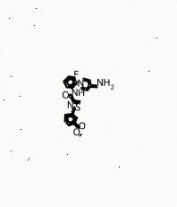 COC(=O)c1cccc(-c2nc(C(=O)Nc3cccc(F)c3N3CCC(CN)CC3)cs2)c1